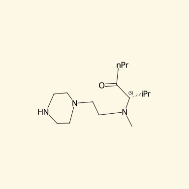 CCCC(=O)[C@H](C(C)C)N(C)CCN1CCNCC1